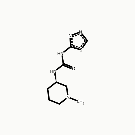 CN1CCC[C@@H](NC(=O)Nc2nncs2)C1